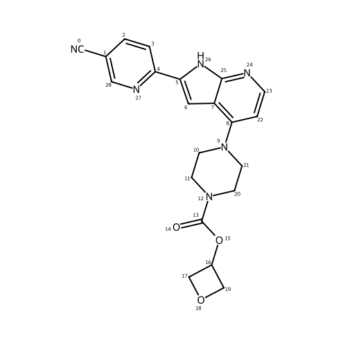 N#Cc1ccc(-c2cc3c(N4CCN(C(=O)OC5COC5)CC4)ccnc3[nH]2)nc1